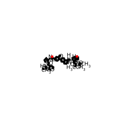 COC(=O)NC(C(=O)N1CCC[C@H]1c1ncc(-c2ccc3c(c2)COc2cc4c(ccc5nc([C@@H]6C[C@@H]7CCC[C@@H]7N6C(=O)[C@@H](NC(=O)OC)C(C)C)[nH]c54)cc2-3)[nH]1)C1CCOCC1